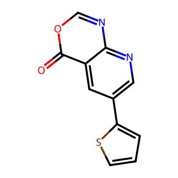 O=c1ocnc2ncc(-c3cccs3)cc12